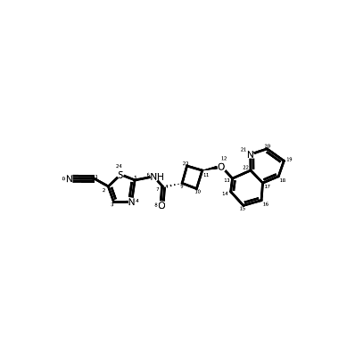 N#Cc1cnc(NC(=O)[C@H]2C[C@H](Oc3cccc4cccnc34)C2)s1